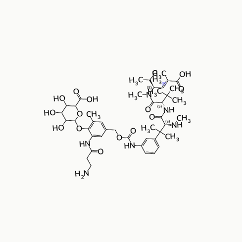 CN[C@H](C(=O)N[C@H](C(=O)N(C)[C@H](/C=C(\C)C(=O)O)C(C)C)C(C)(C)C)C(C)(C)c1cccc(NC(=O)OCc2cc(C)c(OC3OC(C(=O)O)C(O)C(O)C3O)c(NC(=O)CCN)c2)c1